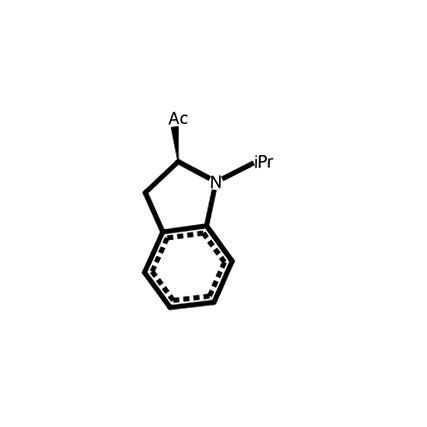 CC(=O)[C@@H]1Cc2ccccc2N1C(C)C